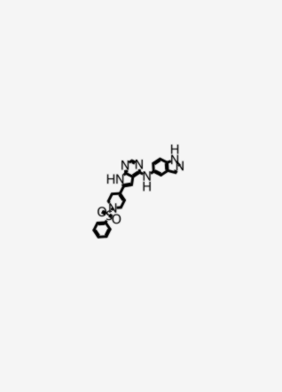 O=S(=O)(c1ccccc1)N1CC=C(c2cc3c(Nc4ccc5[nH]ncc5c4)ncnc3[nH]2)CC1